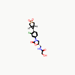 O=C(CO)NC[C@H]1CN(c2ccc([C@H]3[C@@H]4CS(=O)(=O)C[C@@H]43)c(F)c2)C(=O)O1